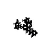 C=c1cccc(F)/c1=C(/C)c1nc2c3c(nc(OC[C@]45CCCN4C[C@@H](F)C5)nc3c1F)N1C[C@@H]3CCC(N3)[C@@H]1CO2